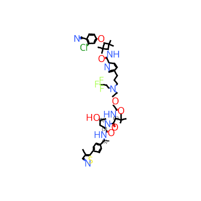 Cc1cnsc1-c1ccc([C@H](C)NC(=O)[C@@H]2C[C@@H](O)CN2C(=O)[C@@H](NC(=O)COCCN(CCCc2ccc(C(=O)N[C@H]3C(C)(C)[C@H](Oc4ccc(C#N)c(Cl)c4)C3(C)C)nc2)CCC(F)(F)F)C(C)(C)C)cc1